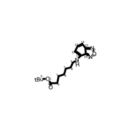 CC(C)(C)OC(=O)CCCCCCNc1cccc2nonc12